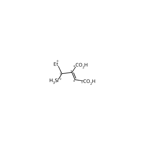 CCC([SiH3])/C(=C/C(=O)O)C(=O)O